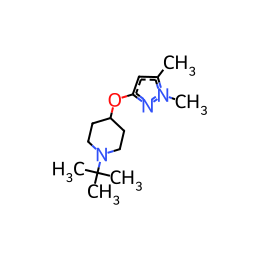 Cc1cc(OC2CCN(C(C)(C)C)CC2)nn1C